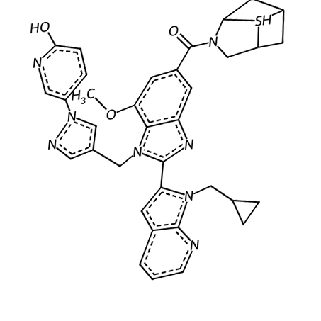 COc1cc(C(=O)N2CC3CC4CC2[SH]43)cc2nc(-c3cc4cccnc4n3CC3CC3)n(Cc3cnn(-c4ccc(O)nc4)c3)c12